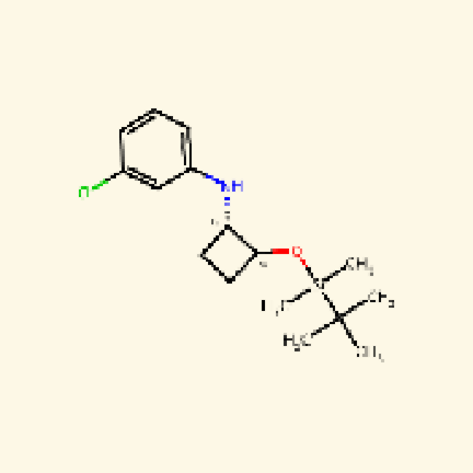 CC(C)(C)[Si](C)(C)O[C@H]1CC[C@@H]1Nc1cccc(Cl)c1